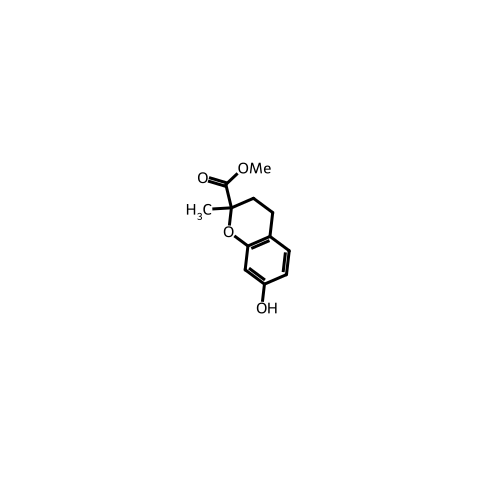 COC(=O)C1(C)CCc2ccc(O)cc2O1